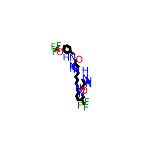 O=C(NCc1cccc(OC(F)(F)F)c1)c1cn(CCCCN(Cc2ccc(C(F)(F)F)cn2)C(=O)c2c[nH]nn2)nn1